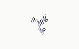 Cc1ccc2c(c1)c1ccccc1n2-c1ccc(N(c2ccc(-c3cccc4ccccc34)cc2)c2ccc(-c3cccc(-n4c5ccccc5c5ccccc54)c3)cc2-c2ccccc2)cc1